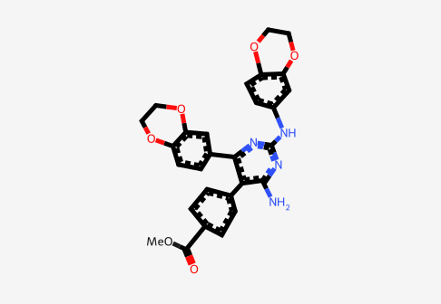 COC(=O)c1ccc(-c2c(N)nc(Nc3ccc4c(c3)OCCO4)nc2-c2ccc3c(c2)OCCO3)cc1